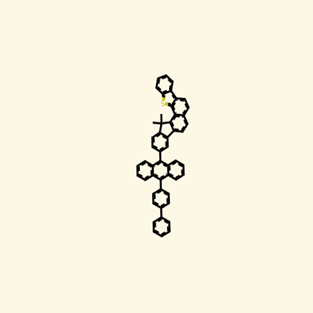 CC1(C)c2ccc(-c3c4ccccc4c(-c4ccc(-c5ccccc5)cc4)c4ccccc34)cc2-c2ccc3ccc4c5ccccc5sc4c3c21